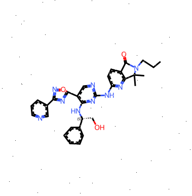 CCCN1C(=O)c2ccc(Nc3ncc(-c4nc(-c5cccnc5)no4)c(N[C@H](CO)c4ccccc4)n3)nc2C1(C)C